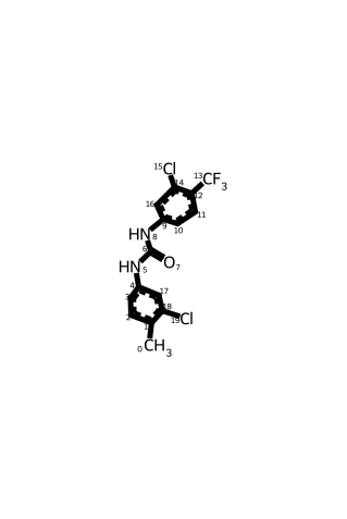 Cc1ccc(NC(=O)Nc2ccc(C(F)(F)F)c(Cl)c2)cc1Cl